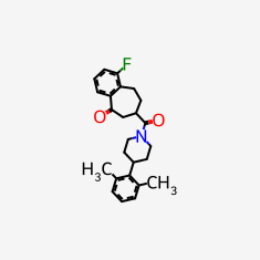 Cc1cccc(C)c1C1CCN(C(=O)C2CCc3c(F)cccc3C(=O)C2)CC1